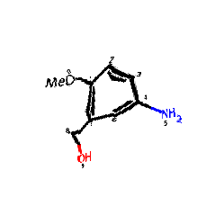 COc1ccc(N)cc1CO